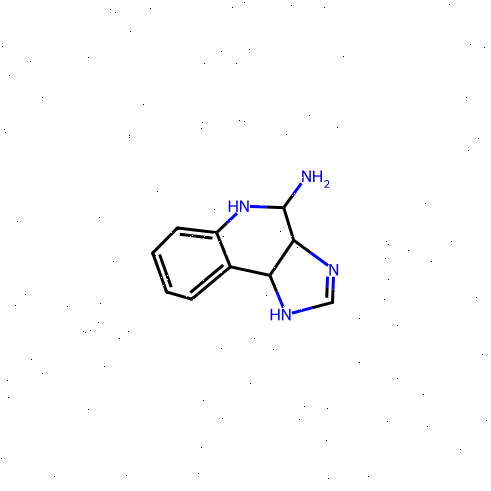 NC1Nc2ccccc2C2NC=NC12